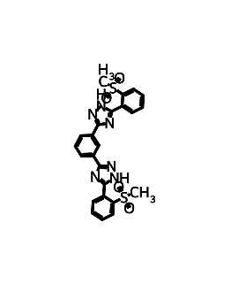 CS(=O)(=O)c1ccccc1-c1nc(-c2cccc(-c3n[nH]c(-c4ccccc4S(C)(=O)=O)n3)c2)n[nH]1